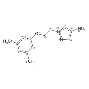 Cc1cc(C)nc(OCCn2cc(N)cn2)c1